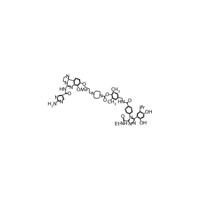 CCNC(=O)c1nnc(-c2cc(C(C)C)c(O)cc2O)n1-c1ccc(C(=O)NCc2cc(C)c(OC(=O)N3CCN(CCCOc4ccc5c(c4OC)N=C(NC(=O)c4cnc(N)nc4)N4CCN=C54)CC3)c(C)c2)cc1